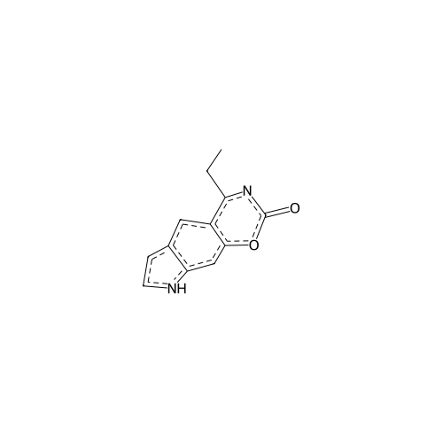 CCc1nc(=O)oc2cc3[nH]ccc3cc12